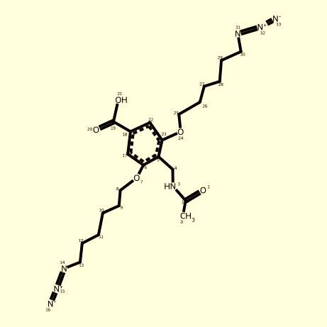 CC(=O)NCc1c(OCCCCCCN=[N+]=[N-])cc(C(=O)O)cc1OCCCCCCN=[N+]=[N-]